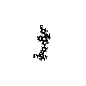 CC(C)[Si](OCc1ccc(CCC2C3=C(CCCC3)C3=C(N=NC3c3ccc(F)cc3)[C@@H]2C)cc1)(C(C)C)C(C)C